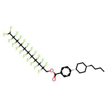 CCCC[C@H]1CC[C@H](c2ccc(C(=O)OCC(F)(F)C(F)(F)C(F)(F)C(F)(F)C(F)(F)C(F)(F)C(F)(F)C(F)(F)C(F)(F)C(F)F)cc2)CC1